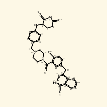 O=C1CCC(Nc2ccc(CN3CCN(C(=O)c4cc(Cc5n[nH]c(=O)c6ccccc56)ccc4F)CC3)cc2)C(=O)N1